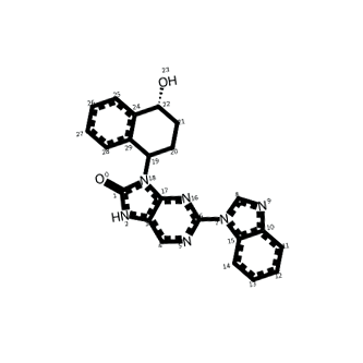 O=c1[nH]c2cnc(-n3cnc4ccccc43)nc2n1C1CC[C@@H](O)c2ccccc21